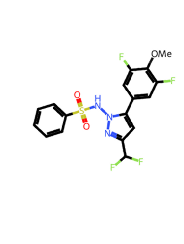 COc1c(F)cc(-c2cc(C(F)F)nn2NS(=O)(=O)c2ccccc2)cc1F